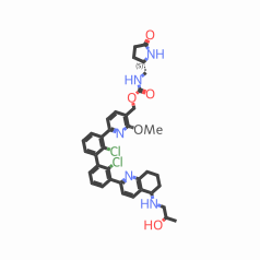 COc1nc(-c2cccc(-c3cccc(-c4ccc5c(n4)CCCC5NCC(C)O)c3Cl)c2Cl)ccc1COC(=O)NC[C@@H]1CCC(=O)N1